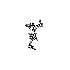 Cc1c(COc2cc(OCc3cncc(C#N)c3)c(CN3CCC[C@H](C(=O)O)C3)cc2Cl)cccc1-c1cccc(OCCCN2CCC[C@H](OC=O)C2)c1C